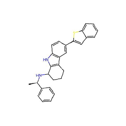 C[C@@H](NC1CCCc2c1[nH]c1ccc(-c3cc4ccccc4s3)cc21)c1ccccc1